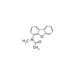 CC(=O)N(C)c1cccc2c1oc1ccccc12